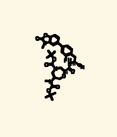 CN(C(=O)OC(C)(C)C)C1CO[C@H](C(=O)N[C@H](C#N)Cc2ccc(-c3ccc4oc(=O)n(C)c4c3)cc2F)CN(C(=O)OC(C)(C)C)C1